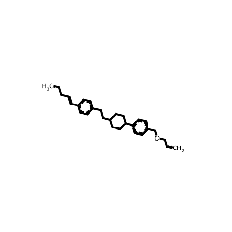 C=CCOCc1ccc(C2CCC(CCc3ccc(C=CCCC)cc3)CC2)cc1